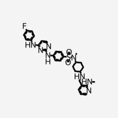 CNc1ncccc1CNC1CCC(N(C)S(=O)(=O)c2ccc(Nc3nccc(Nc4ccc(F)cc4)n3)cc2)CC1